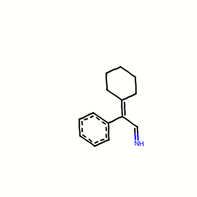 N=CC(=C1CCCCC1)c1ccccc1